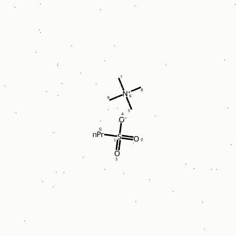 CCCS(=O)(=O)[O-].C[N+](C)(C)C